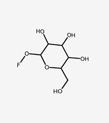 OCC1OC(OF)C(O)C(O)C1O